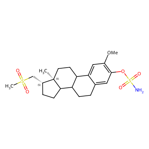 COc1cc2c(cc1OS(N)(=O)=O)CCC1C2CC[C@@]2(C)C1CC[C@@H]2CS(C)(=O)=O